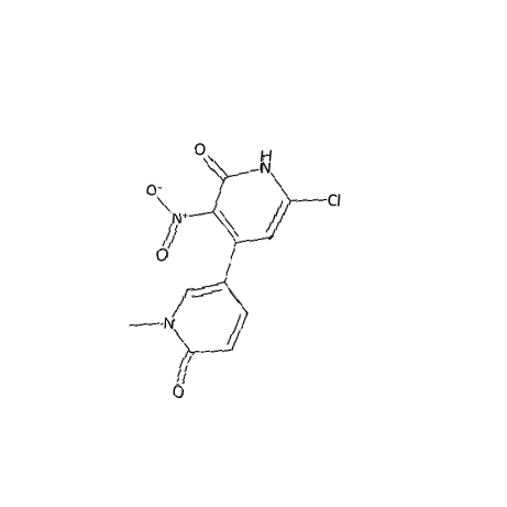 Cn1cc(-c2cc(Cl)[nH]c(=O)c2[N+](=O)[O-])ccc1=O